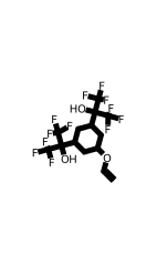 C=COC1CC(C(O)(C(F)(F)F)C(F)(F)F)CC(C(O)(C(F)(F)F)C(F)(F)F)C1